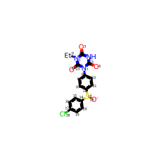 CCn1c(=O)[nH]c(=O)n(-c2ccc([S+]([O-])c3ccc(Cl)cc3)cc2)c1=O